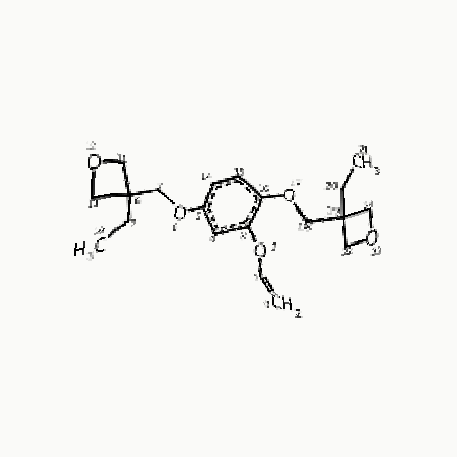 C=COc1cc(OCC2(CC)COC2)ccc1OCC1(CC)COC1